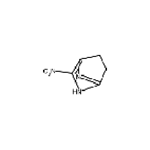 O=[N+]([O-])c1[nH]c2nc1CC2